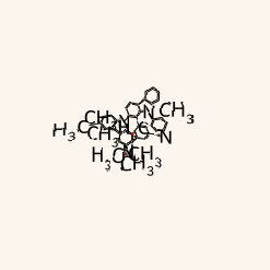 Cc1cccc(C)c1-n1c2ccccc2c2ccc(-n3c4ccc(C(C)(C)C)cc4c4cc(C(C)(C)C)ccc43)c(-c3cc(C#N)cc(C#N)c3)c21